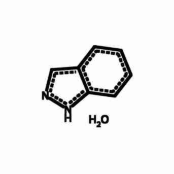 O.c1ccc2[nH]ncc2c1